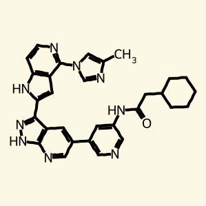 Cc1cn(-c2nccc3[nH]c(-c4n[nH]c5ncc(-c6cncc(NC(=O)CC7CCCCC7)c6)cc45)cc23)cn1